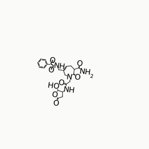 NC(=O)C1CC=C(CNS(=O)(=O)c2ccccc2)CN(CC(=O)NC2CC(=O)OC2O)C1=O